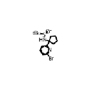 CC(C)(C)[S+]([O-])NC1(c2cccc(Br)n2)CCCC1